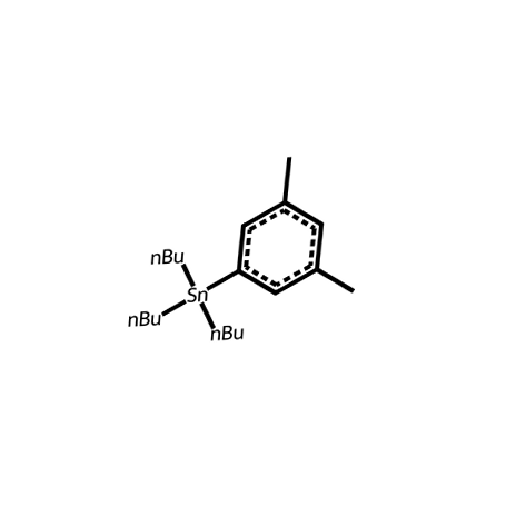 CCC[CH2][Sn]([CH2]CCC)([CH2]CCC)[c]1cc(C)cc(C)c1